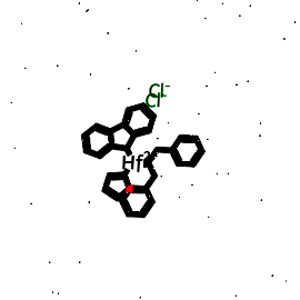 C1=CC[C]([Hf+2](=[C](Cc2ccccc2)Cc2ccccc2)[CH]2c3ccccc3-c3ccccc32)=C1.[Cl-].[Cl-]